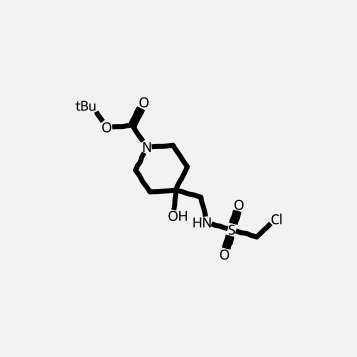 CC(C)(C)OC(=O)N1CCC(O)(CNS(=O)(=O)CCl)CC1